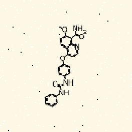 COc1ccc2c(Oc3ccc(NC(=O)Nc4ccccc4)cc3)ccnc2c1C(N)=O